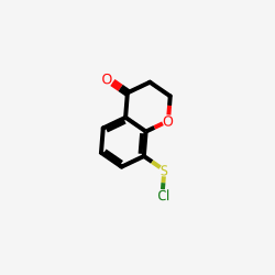 O=C1CCOc2c(SCl)cccc21